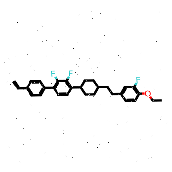 C=Cc1ccc(-c2ccc(C3CCC(CCc4ccc(OCC)c(F)c4)CC3)c(F)c2F)cc1